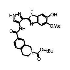 COc1cc2nc(-c3n[nH]cc3NC(=O)c3ccc4c(c3)CN(C(=O)OC(C)(C)C)CC4)[nH]c2cc1O